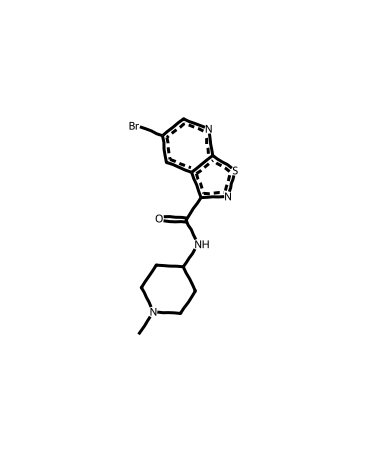 CN1CCC(NC(=O)c2nsc3ncc(Br)cc23)CC1